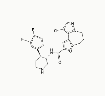 O=C(N[C@@H]1CNCC[C@H]1c1ccc(F)c(F)c1)c1cc2c(o1)CCCn1ncc(Cl)c1-2